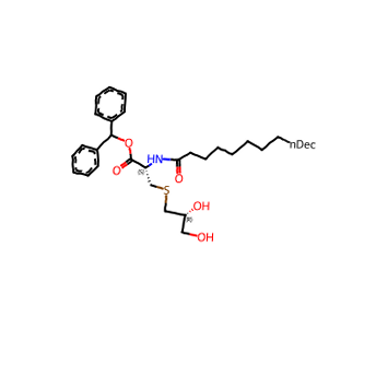 CCCCCCCCCCCCCCCCCC(=O)N[C@H](CSC[C@H](O)CO)C(=O)OC(c1ccccc1)c1ccccc1